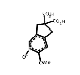 COc1cc2c(c[n+]1[O-])CC(C(=O)O)(C(=O)O)C2